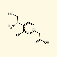 N[C@H](CO)c1ccc(CC(=O)O)cc1Cl